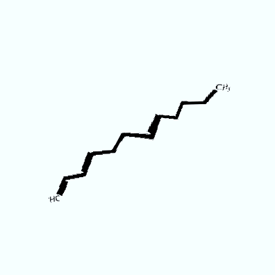 [CH]=CC=CCCC=CCCCC